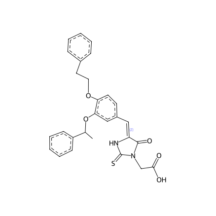 CC(Oc1cc(/C=C2\NC(=S)N(CC(=O)O)C2=O)ccc1OCCc1ccccc1)c1ccccc1